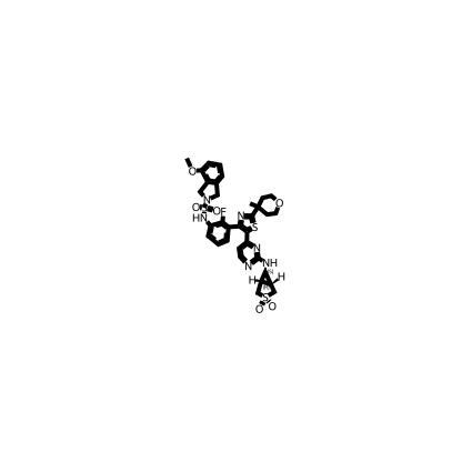 COc1cccc2c1CN(S(=O)(=O)Nc1cccc(-c3nc(C4(C)CCOCC4)sc3-c3ccnc(N[C@@H]4[C@@H]5CS(=O)(=O)C[C@@H]54)n3)c1F)C2